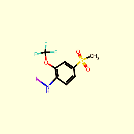 CS(=O)(=O)c1ccc(NI)c(OC(F)(F)F)c1